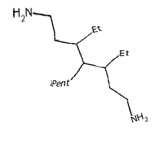 CCCC(C)C(C(CC)CCN)C(CC)CCN